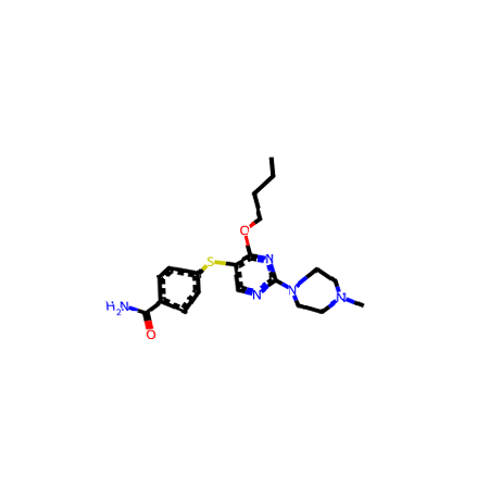 CCCCOc1nc(N2CCN(C)CC2)ncc1Sc1ccc(C(N)=O)cc1